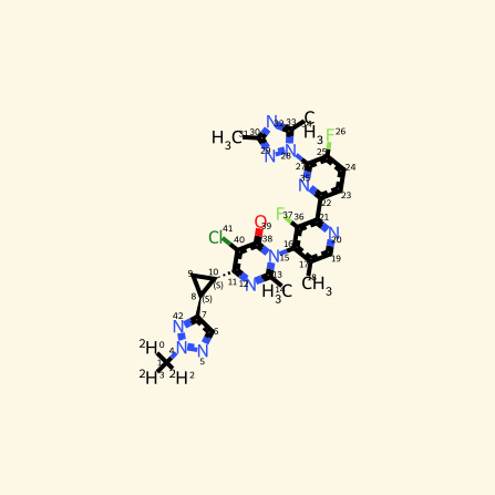 [2H]C([2H])([2H])n1ncc([C@H]2C[C@@H]2c2nc(C)n(-c3c(C)cnc(-c4ccc(F)c(-n5nc(C)nc5C)n4)c3F)c(=O)c2Cl)n1